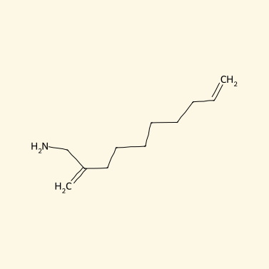 C=CCCCCCCC(=C)CN